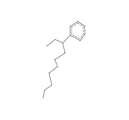 CCCCCCCC(CC)c1cc[c]cc1